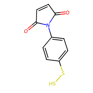 O=C1C=CC(=O)N1c1ccc(SS)cc1